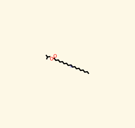 CCCCCCCC/C=C/CCCCCCCC(=O)OCC(C)C